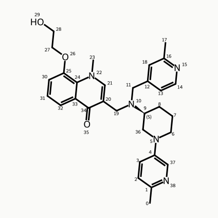 Cc1ccc(N2CCC[C@H](N(Cc3ccnc(C)c3)Cc3cn(C)c4c(OCCO)cccc4c3=O)C2)cn1